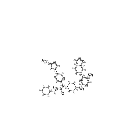 Cn1cc(-c2ccc(N(C(=O)NCc3ccccc3)[C@H]3CC[C@H](Nc4ncc(C#N)c(-c5ccc6cnsc6c5)n4)CC3)nc2)cn1